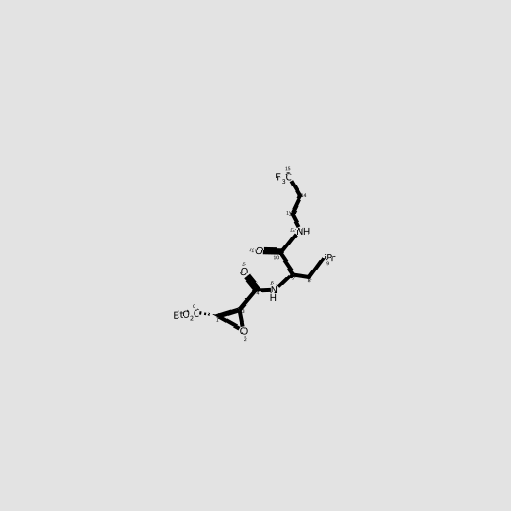 CCOC(=O)[C@H]1OC1C(=O)NC(CC(C)C)C(=O)NCCC(F)(F)F